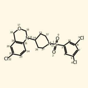 O=S(=O)(c1cc(Cl)cc(Cl)c1)N1CCC(N2COCc3cc(Cl)ccc32)CC1